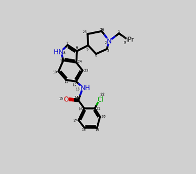 CC(C)CN1CCC(c2c[nH]c3ccc(NC(=O)c4ccccc4Cl)cc23)CC1